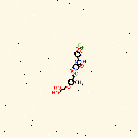 Cc1cc(OCCC(O)CO)ccc1C=CS(=O)(=O)N1CCC2(CC1)N=C(c1ccc3c(c1)OC(F)(F)O3)NC2=O